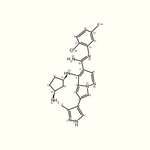 Cc1n[nH]cc1-c1cc2c(N[C@@H]3CC[C@H](N)C3)c(/C(N)=N/c3cc(F)ccc3Cl)cnn2c1